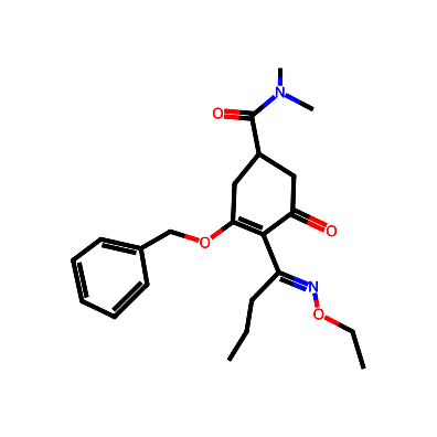 CCCC(=NOCC)C1=C(OCc2ccccc2)CC(C(=O)N(C)C)CC1=O